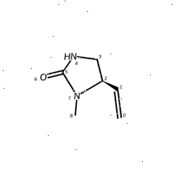 C=C[C@@H]1CNC(=O)N1C